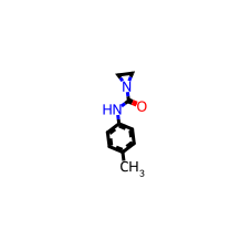 Cc1ccc(NC(=O)N2CC2)cc1